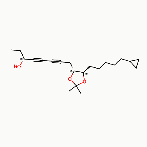 CC[C@@H](O)C#CC#CC[C@H]1OC(C)(C)O[C@@H]1CCCCCC1CC1